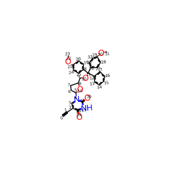 C#Cc1cn(C2CCC(COC(c3ccccc3)(c3ccc(OC)cc3)c3ccc(OC)cc3)O2)c(=O)[nH]c1=O